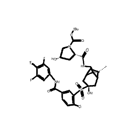 C[C@H]1CC2C[C@@](O)(S(=O)(=O)c3cc(C(=O)Nc4cc(F)c(F)c(F)c4)ccc3Cl)CC1[C@@]2(O)CNC(=O)[C@@H]1C[C@H](O)CN1C(=O)OC(C)(C)C